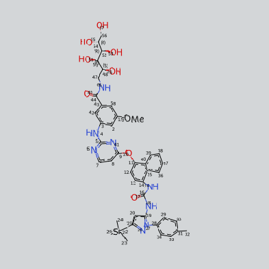 COc1cc(Nc2nccc(Oc3ccc(NC(=O)Nc4cc([Si](C)(C)C)nn4-c4ccc(C)cc4)c4ccccc34)n2)cc(C(=O)NC[C@H](O)[C@@H](O)[C@H](O)[C@H](O)CO)c1